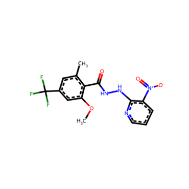 COc1cc(C(F)(F)F)cc(C)c1C(=O)NNc1ncccc1[N+](=O)[O-]